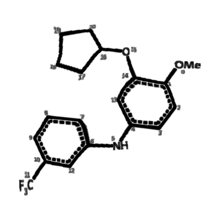 COc1ccc(Nc2cccc(C(F)(F)F)c2)cc1OC1CCCC1